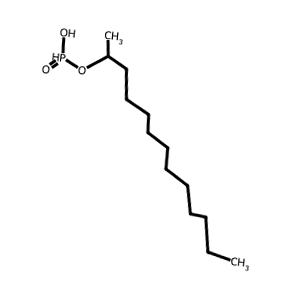 CCCCCCCCCCCC(C)O[PH](=O)O